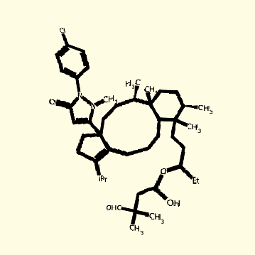 CCC(CCC1(C)C2CCCC3=C(C(C)C)CCC3(c3cc(=O)n(-c4ccc(Cl)cc4)n3C)CC[C@@H](C)C2(C)CC[C@H]1C)OC(O)CC(C)(C)C=O